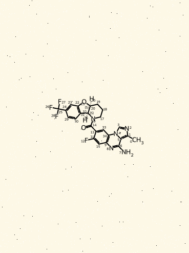 Cc1ncn2c1c(N)nc1cc(F)c(C(=O)N3CCC[C@@H]4Oc5cc(C(F)(F)F)ccc5[C@@H]43)cc12